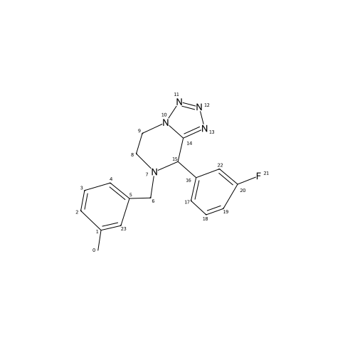 Cc1cccc(CN2CCn3nnnc3C2c2cccc(F)c2)c1